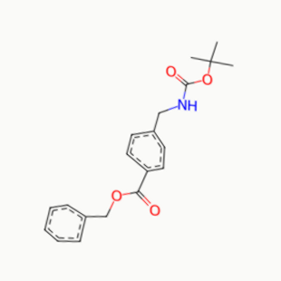 CC(C)(C)OC(=O)NCc1ccc(C(=O)OCc2ccccc2)cc1